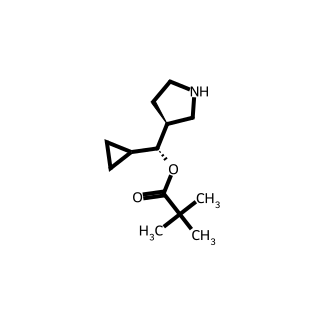 CC(C)(C)C(=O)O[C@H](C1CC1)[C@H]1CCNC1